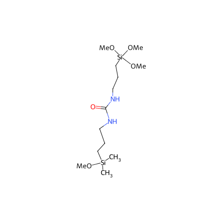 CO[Si](C)(C)CCCNC(=O)NCCC[Si](OC)(OC)OC